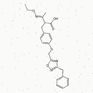 CCON=C(C)C(Cc1ccc(OCc2nc(Cc3ccccc3)no2)cc1)C(=O)O